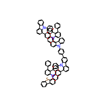 c1ccc(-c2ccccc2-c2c(-c3ccccc3)cccc2N(c2ccc(-c3cccc4c5ccc(-c6ccc(-n7c8ccccc8c8c(N(c9ccc(-c%10cccc%11c%12ccccc%12n(-c%12ccccc%12)c%10%11)cc9)c9cccc(-c%10ccccc%10)c9-c9ccccc9-c9ccccc9)cccc87)cc6)cc5n(-c5ccccc5)c34)cc2)c2cccc3c2sc2ccccc23)cc1